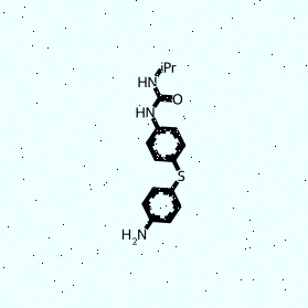 CC(C)NC(=O)Nc1ccc(Sc2ccc(N)cc2)cc1